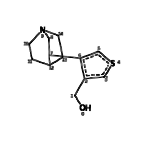 OCc1[c]scc1C1CN2CCC1CC2